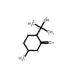 CC1CCC(C(C)(C)O)C(=O)C1